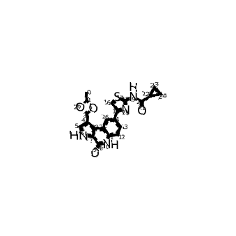 CC1OC(c2c[nH]c3c(=O)[nH]c4ccc(-c5csc(NC(=O)C6CC6)n5)cc4c23)O1